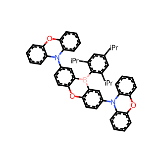 CC(C)c1cc(C(C)C)c(B2c3cc(N4c5ccccc5Oc5ccccc54)ccc3Oc3ccc(N4c5ccccc5Oc5ccccc54)cc32)c(C(C)C)c1